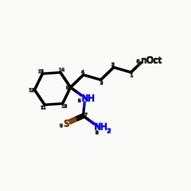 CCCCCCCCCCCCC1(NC(N)=S)CCCCC1